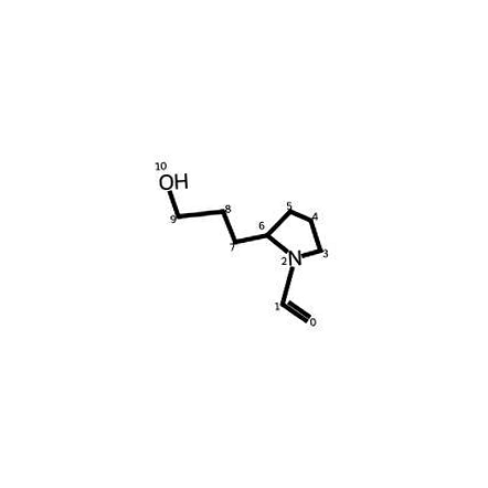 C=CN1CCCC1CCCO